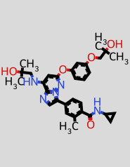 Cc1cc(-c2cnc3c(NCC(C)(C)O)cc(Oc4cccc(OCC(C)(C)O)c4)nn23)ccc1C(=O)NC1CC1